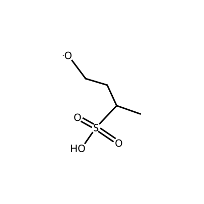 CC(CC[O])S(=O)(=O)O